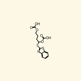 O=C(O)OCCCC(OC(=O)O)Sc1nc2ccccc2s1